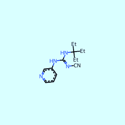 CCC(CC)(CC)NC(=NC#N)Nc1cccnc1